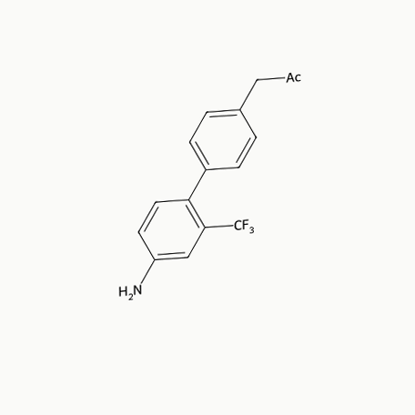 CC(=O)Cc1ccc(-c2ccc(N)cc2C(F)(F)F)cc1